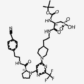 CC(C)(C)OC(=O)N[C@@H](CS(=O)(=O)O)C(=O)NCCC1CCN(c2cc(N3CCC[C@H]3C(=O)NCCc3ccc(C#N)cc3)nc(C(F)(F)F)n2)CC1